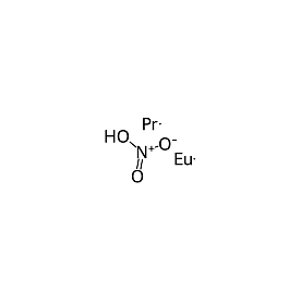 O=[N+]([O-])O.[Eu].[Pr]